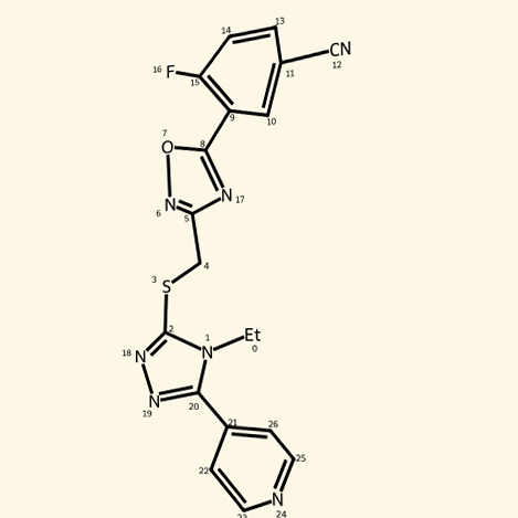 CCn1c(SCc2noc(-c3cc(C#N)ccc3F)n2)nnc1-c1ccncc1